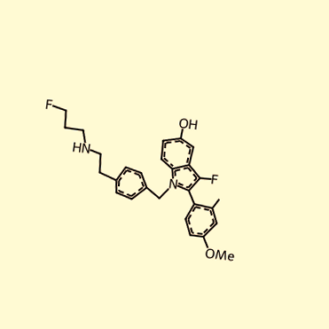 COc1ccc(-c2c(F)c3cc(O)ccc3n2Cc2ccc(CCNCCCF)cc2)c(C)c1